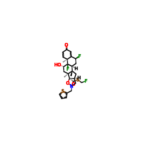 C[C@]12C[C@H](O)[C@@]3(F)[C@@H](C[C@H](F)C4=CC(=O)C=C[C@@]43C)[C@]1(C)C[C@H]1CN(Cc3cccs3)O[C@]12C(=O)SCF